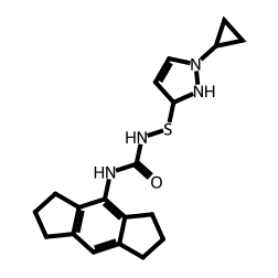 O=C(NSC1C=CN(C2CC2)N1)Nc1c2c(cc3c1CCC3)CCC2